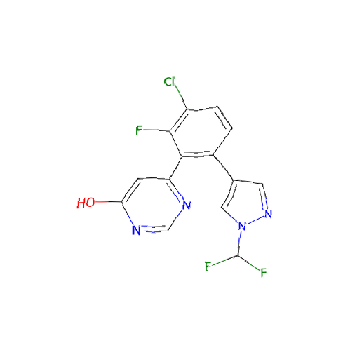 Oc1cc(-c2c(-c3cnn(C(F)F)c3)ccc(Cl)c2F)ncn1